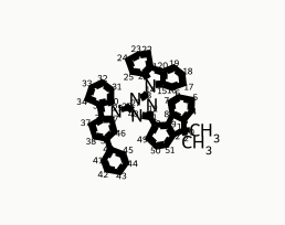 CC1(C)c2ccccc2-c2c(-c3nc(-n4c5ccccc5c5ccccc54)nc(-n4c5ccccc5c5ccc(-c6ccccc6)cc54)n3)cccc21